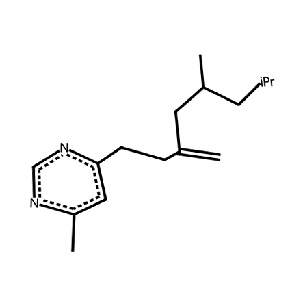 C=C(CCc1cc(C)ncn1)CC(C)CC(C)C